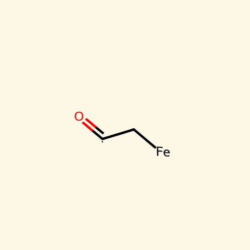 O=[C][CH2][Fe]